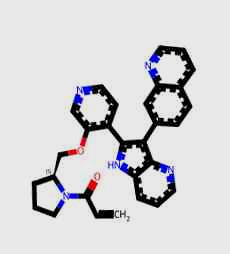 C=CC(=O)N1CCC[C@H]1COc1cnccc1-c1[nH]c2cccnc2c1-c1ccc2cccnc2c1